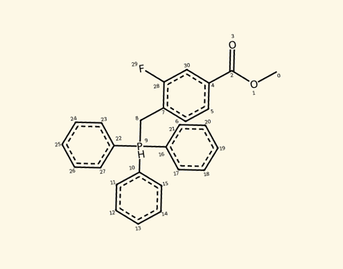 COC(=O)c1ccc(C[PH](c2ccccc2)(c2ccccc2)c2ccccc2)c(F)c1